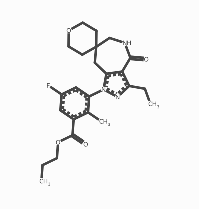 CCCOC(=O)c1cc(F)cc(-n2nc(CC)c3c2CC2(CCOCC2)CNC3=O)c1C